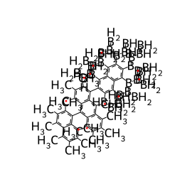 BBB(B)B(B(B)B)c1c(B(BB)B(B)B)c(B(B)B(B)B)c2c(B(B)BB)c(-c3c(C)c(C)c(C)c4c(-c5c(C)c(C)c(C)c6c(C)c(C)c(C)c(C)c56)c5c(C)c(C)c(C)c(C)c5c(C)c34)c(BB)c(B)c2c1B(B(B)B)B(B)BB